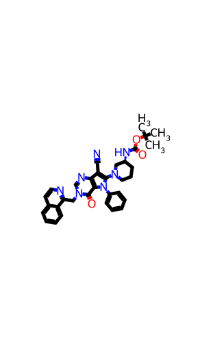 CC(C)(C)OC(=O)N[C@H]1CCCN(c2c(C#N)c3ncn(Cc4nccc5ccccc45)c(=O)c3n2-c2ccccc2)C1